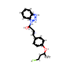 CCCC(CCF)Oc1ccc(/C=C/C(=O)n2nnc3ccccc32)cc1